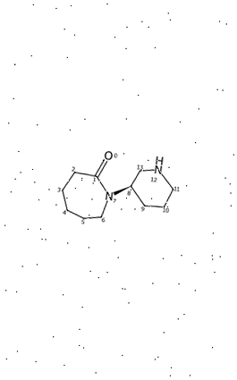 O=C1CCCCCN1[C@@H]1CCCNC1